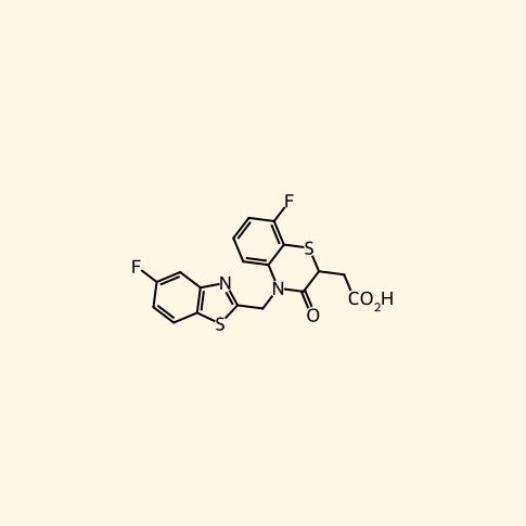 O=C(O)CC1Sc2c(F)cccc2N(Cc2nc3cc(F)ccc3s2)C1=O